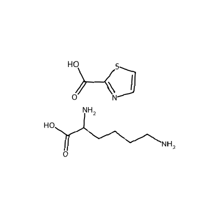 NCCCCC(N)C(=O)O.O=C(O)c1nccs1